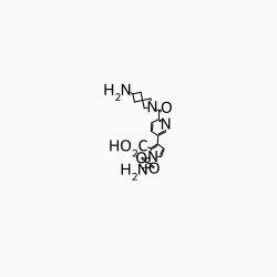 NC1CC2(C1)CN(C(=O)c1ccc(-c3ccn(S(N)(=O)=O)c3C(=O)O)cn1)C2